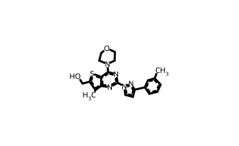 Cc1cccc(-c2ccn(-c3nc(N4CCOCC4)c4sc(CO)c(C)c4n3)n2)c1